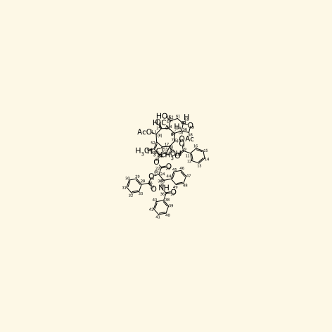 CC(=O)O[C@H]1C(=O)[C@@]2(C)[C@H]([C@H](OC(=O)c3ccccc3)[C@]3(O)C[C@H](OC(=O)[C@H](OC(=O)c4ccccc4)[C@@H](NC(=O)c4ccccc4)c4ccccc4)C(C)=C1C3(C)C)[C@]1(OC(C)=O)CO[C@@H]1C[C@@H]2O